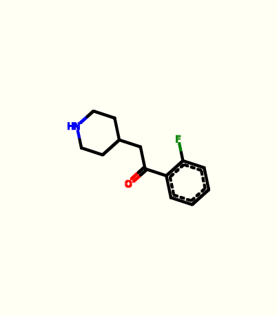 O=C(CC1CCNCC1)c1ccccc1F